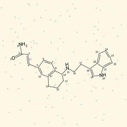 NC(=O)/C=C/c1ccc2c(c1)CCCC2NCCc1c[nH]c2ccccc12